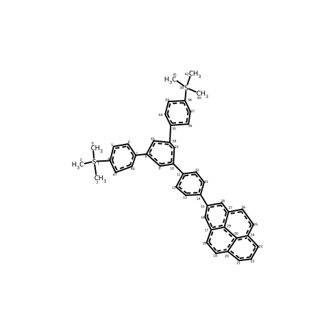 CS(C)(C)c1ccc(-c2cc(-c3ccc(-c4cc5ccc6cccc7ccc(c4)c5c67)cc3)cc(-c3ccc(S(C)(C)C)cc3)c2)cc1